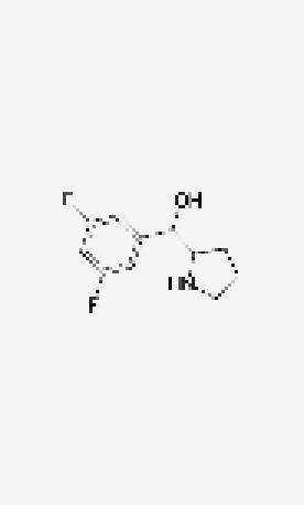 OC(c1cc(F)cc(F)c1)C1CCCN1